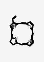 C=Cc1cc2cc3nc(cc4ccc(cc5nc(cc1[nH]2)C=C5)[nH]4)CC3